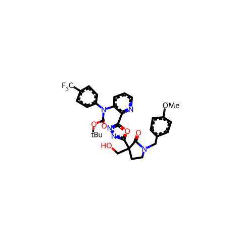 COc1ccc(CN2CCC(CO)(c3nnc(-c4ncccc4N(C(=O)OC(C)(C)C)c4ccc(C(F)(F)F)cc4)o3)C2=O)cc1